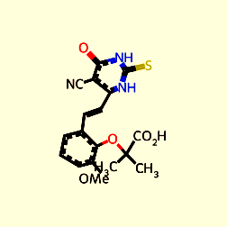 COc1cccc(C=Cc2[nH]c(=S)[nH]c(=O)c2C#N)c1OC(C)(C)C(=O)O